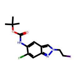 CC(C)(C)OC(=O)Nc1cc2cn(CCI)nc2cc1F